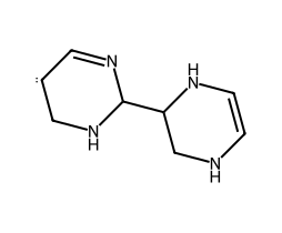 [C]1C=NC(C2CNC=CN2)NC1